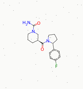 NC(=O)N1CCC[C@H](C(=O)N2CCCC2c2ccc(F)cc2)C1